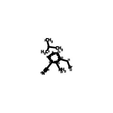 CC(C)C.N#Cc1cccc(CBr)c1N